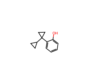 Oc1ccccc1C1(C2CC2)CC1